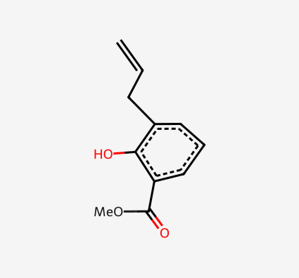 C=CCc1cccc(C(=O)OC)c1O